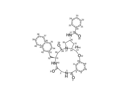 O=C1CNC(=O)c2cccc(c2)OC[C@@H]2C[C@@H](NC(=O)c3ccccc3)CN2C(=O)C[C@H](Cc2ccc3ccccc3c2)N1